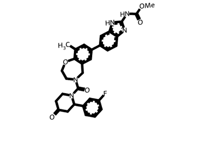 COC(=O)Nc1nc2ccc(-c3cc(C)c4c(c3)CN(C(=O)N3CCC(=O)CC3c3cccc(F)c3)CCO4)cc2[nH]1